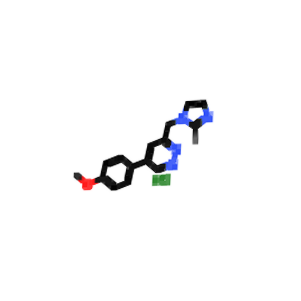 COc1ccc(-c2cnnc(Cn3ccnc3C)c2)cc1.Cl